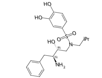 CC(C)CN(C[C@@H](O)[C@@H](N)Cc1ccccc1)S(=O)(=O)c1ccc(O)c(O)c1